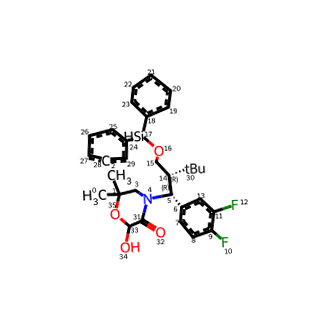 CC1(C)CN([C@@H](c2ccc(F)c(F)c2)[C@H](CO[SiH](c2ccccc2)c2ccccc2)C(C)(C)C)C(=O)C(O)O1